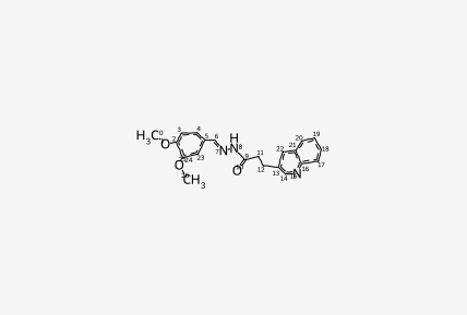 COc1ccc(C=NNC(=O)CCc2cnc3ccccc3c2)cc1OC